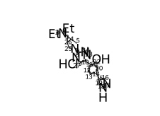 CCN(CC)C1C2CN(c3ncc(-c4ccc(-c5cn[nH]c5)cc4O)nn3)CC21.Cl